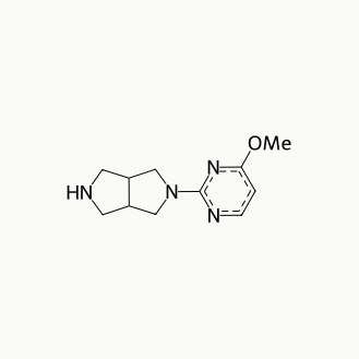 COc1ccnc(N2CC3CNCC3C2)n1